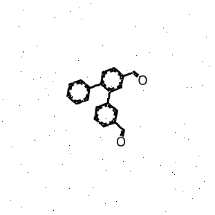 O=Cc1cccc(-c2cc(C=O)ccc2-c2ccccc2)c1